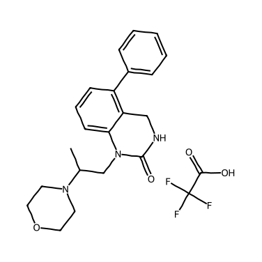 CC(CN1C(=O)NCc2c(-c3ccccc3)cccc21)N1CCOCC1.O=C(O)C(F)(F)F